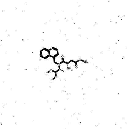 CCOC(OCC)[C@H](C)N(Cc1cccc2ccccc12)C(=O)[C@@H](N)CC(=O)OC(C)(C)C